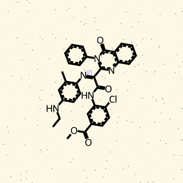 CCNc1ccc(/N=C(\C(=O)Nc2cc(C(=O)OC)ccc2Cl)c2nc3ccccc3c(=O)n2-c2ccccc2)c(C)c1